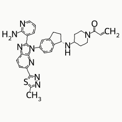 C=CC(=O)N1CCC(N[C@H]2CCc3cc(-n4c(-c5cccnc5N)nc5ccc(-c6nnc(C)s6)nc54)ccc32)CC1